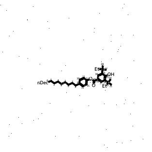 CCCCCCCCCCCCCCCCCCc1ccc(OC(=O)c2cc(C(C)(C)CC)c(O)c(C(C)(C)CC)c2)cc1